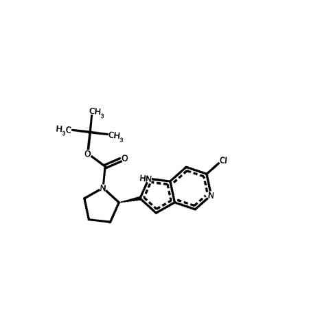 CC(C)(C)OC(=O)N1CCC[C@@H]1c1cc2cnc(Cl)cc2[nH]1